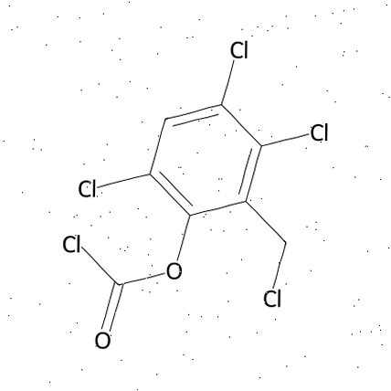 O=C(Cl)Oc1c(Cl)cc(Cl)c(Cl)c1CCl